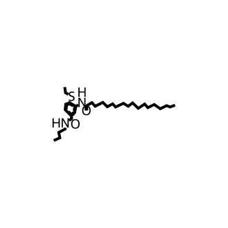 CCCCCCCCCCCCCCCCCC(=O)Nc1cc(C(=O)NCCCC)ccc1SCC